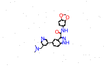 CN(C)Cc1cncc(-c2ccc3[nH]nc(C(=O)Nc4ccc5c(c4)OCO5)c3c2)c1